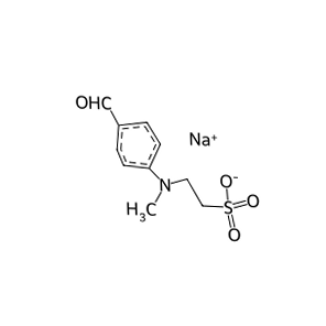 CN(CCS(=O)(=O)[O-])c1ccc(C=O)cc1.[Na+]